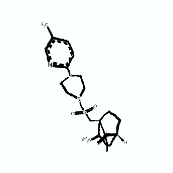 CC1(C)[C@@H]2CC[C@@]1(CS(=O)(=O)N1CCN(c3ccc(C(F)(F)F)cn3)CC1)C(N)C2